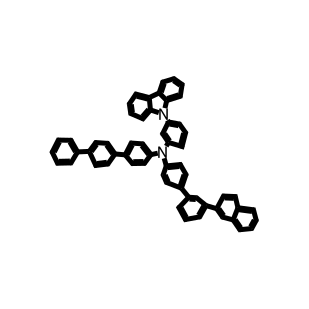 c1ccc(-c2ccc(-c3ccc(N(c4ccc(-c5cccc(-c6ccc7ccccc7c6)c5)cc4)c4cccc(-n5c6ccccc6c6ccccc65)c4)cc3)cc2)cc1